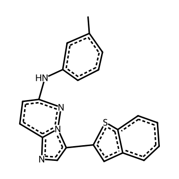 Cc1cccc(Nc2ccc3ncc(-c4cc5ccccc5s4)n3n2)c1